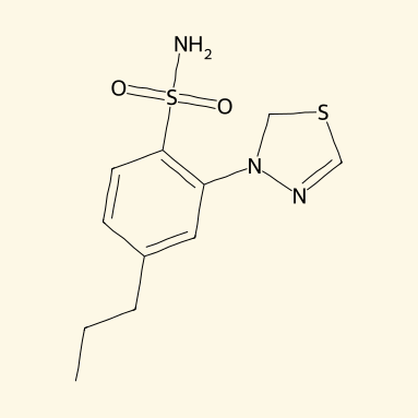 CCCc1ccc(S(N)(=O)=O)c(N2CSC=N2)c1